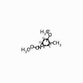 COON1c2cc(C)c(OC)cc21